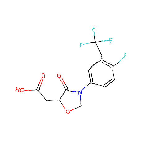 O=C(O)CC1OCN(c2ccc(F)c(C(F)(F)F)c2)C1=O